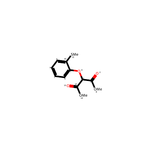 COC(=O)C(Oc1ccccc1SC)C(=O)OC